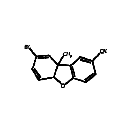 CC12C=C(Br)C=CC1Oc1ccc(C#N)cc12